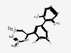 C#[SH](N[C@@H](CC(=O)OCC)c1cc(-c2c(C)cccc2C)cc(F)c1F)C(C)(C)C